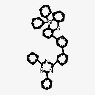 c1ccc(-c2nc(-c3ccccc3)nc(-c3cccc(-c4cccc(-c5cccc6c5Sc5ccccc5[Si]6(c5ccccc5)c5ccccc5)c4)c3)n2)cc1